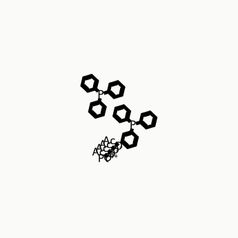 CC(=O)[O-].CC(=O)[O-].CC(=O)[O-].CC(=O)[O-].[Pt+4].c1ccc(P(c2ccccc2)c2ccccc2)cc1.c1ccc(P(c2ccccc2)c2ccccc2)cc1